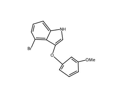 COc1cccc(Oc2c[nH]c3cccc(Br)c23)c1